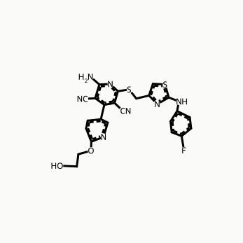 N#Cc1c(N)nc(SCc2csc(Nc3ccc(F)cc3)n2)c(C#N)c1-c1ccc(OCCO)nc1